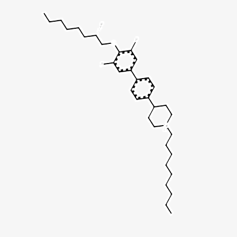 CCCCCCCCC[SiH]1CCC(c2ccc(-c3cc(F)c(OC[C@@H](F)CCCCCC)c(F)c3)cc2)CC1